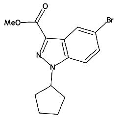 COC(=O)c1nn(C2CCCC2)c2ccc(Br)cc12